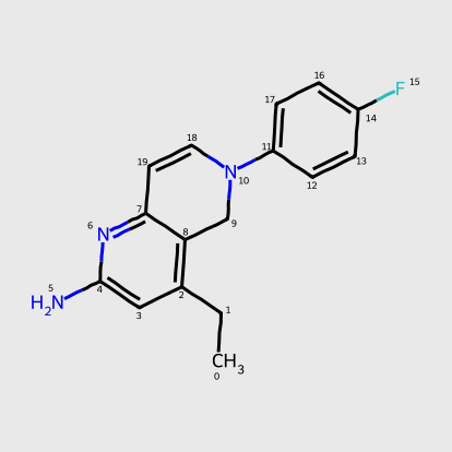 CCc1cc(N)nc2c1CN(c1ccc(F)cc1)C=C2